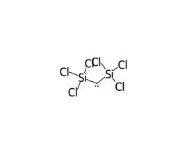 Cl[Si](Cl)(Cl)[C][Si](Cl)(Cl)Cl